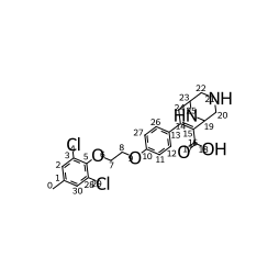 Cc1cc(Cl)c(OCCOc2ccc(C3=C(C(=O)O)C4CNCC(C3)N4)cc2)c(Cl)c1